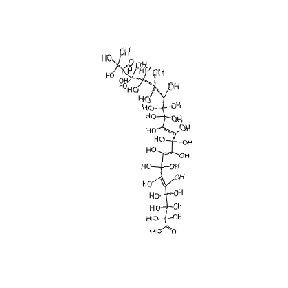 O=C(O)C(O)(O)C(O)(O)C(O)(O)C(O)=C(O)C(O)(O)C(O)=C(O)C(O)(O)C(O)=C(O)C(O)(O)C(O)(O)C(O)C(O)(O)C(O)(O)C(O)(O)C(O)(O)C(O)(O)O